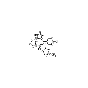 O=C(Nc1ccc(C(F)(F)F)cc1)N1CCC[C@@H]1c1[nH]ncc1Cc1ccc(Cl)cc1